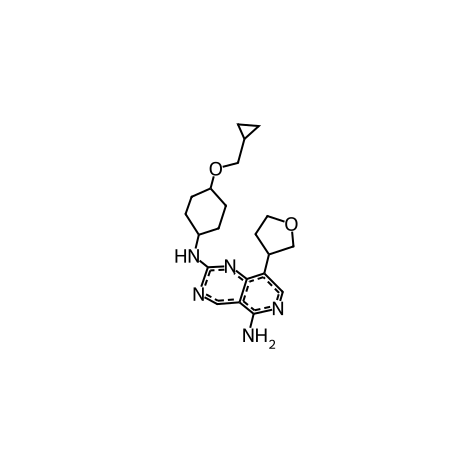 Nc1ncc(C2CCOC2)c2nc(NC3CCC(OCC4CC4)CC3)ncc12